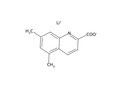 Cc1cc(C)c2ccc(C(=O)[O-])nc2c1.[Li+]